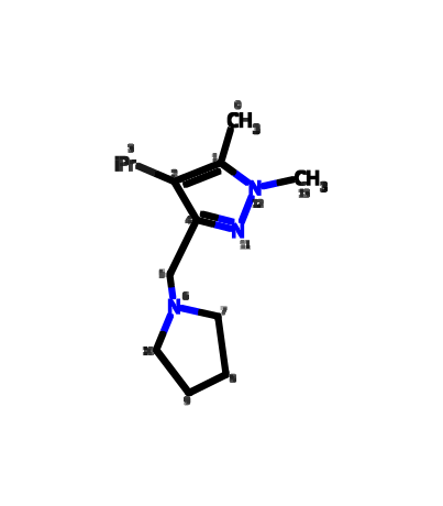 Cc1c(C(C)C)c(CN2CCCC2)nn1C